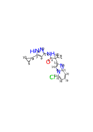 CCC(C(=O)Nc1cc(C2CC2)[nH]n1)c1cn2c(Cl)cccc2n1